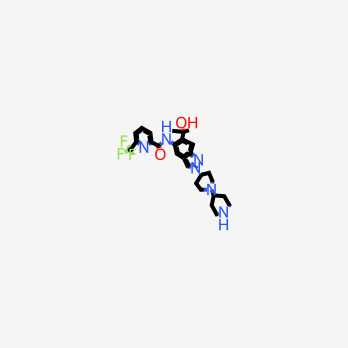 CC(C)(O)c1cc2nn(C3CCN(C4CCNCC4)CC3)cc2cc1NC(=O)c1cccc(C(F)(F)F)n1